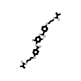 C=C(C)C(=O)OCCCOc1ccc(C(=O)Oc2cc(F)c(OC(=O)c3ccc(OCCCOC(=O)C(=C)C)cc3)cc2F)cc1